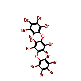 Brc1c(Br)c(Br)c(Oc2c(Br)c(Br)c(Oc3c(Br)c(Br)c(Br)c(Br)c3Br)c(Br)c2Br)c(Br)c1Br